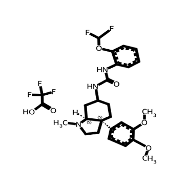 COc1ccc([C@@]23CCC(NC(=O)Nc4ccccc4OC(F)F)C[C@@H]2N(C)CC3)cc1OC.O=C(O)C(F)(F)F